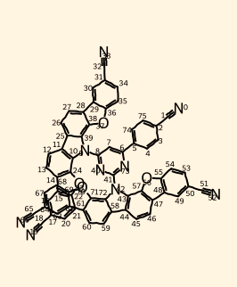 N#Cc1ccc(-c2cc(-n3c4c(ccc5c6cc(C#N)ccc6oc54)c4ccc5c6cc(C#N)ccc6oc5c43)nc(-n3c4c(ccc5c6cc(C#N)ccc6oc54)c4ccc5c6cc(C#N)ccc6oc5c43)n2)cc1